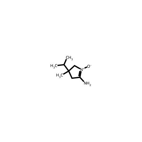 CC(C)C1(C)CC(N)=[N+]([O-])C1